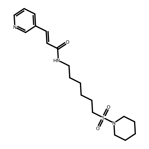 O=C(C=Cc1cccnc1)NCCCCCCS(=O)(=O)N1CCCCC1